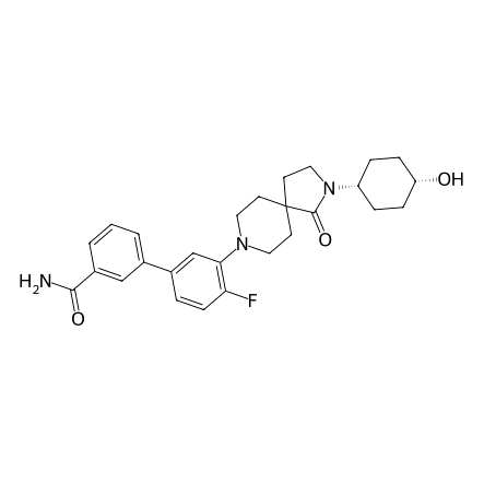 NC(=O)c1cccc(-c2ccc(F)c(N3CCC4(CC3)CCN([C@H]3CC[C@@H](O)CC3)C4=O)c2)c1